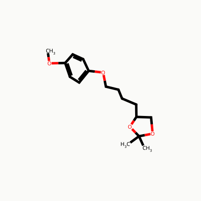 COc1ccc(OCCCCC2COC(C)(C)O2)cc1